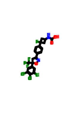 O=C(O)NC1CC(F)(c2ccc(C3=NOC(c4cc(Cl)c(Cl)c(Cl)c4)(C(F)(F)F)C3)cc2)C1